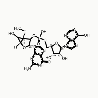 CO[C@@]12C(OP(=O)(O)OC[C@H]3O[C@@H](n4cnc5c(O)ncnc54)[C@H](O)[C@@H]3O)[C@H](n3cnc4c(=O)[nH]c(N)nc43)O[C@@H]1C2O